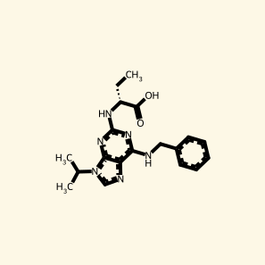 CC[C@@H](Nc1nc(NCc2ccccc2)c2ncn(C(C)C)c2n1)C(=O)O